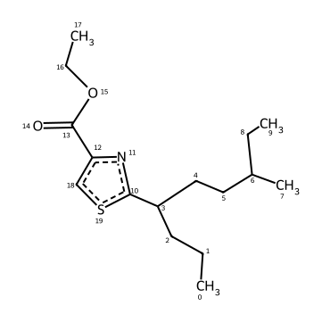 CCCC(CCC(C)CC)c1nc(C(=O)OCC)cs1